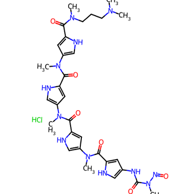 CN(C)CCCN(C)C(=O)c1cc(N(C)C(=O)c2cc(N(C)C(=O)c3cc(N(C)C(=O)c4cc(NC(=O)N(C)N=O)c[nH]4)c[nH]3)c[nH]2)c[nH]1.Cl